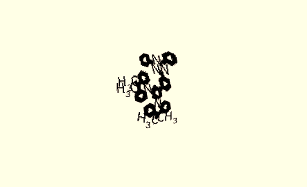 CC1(C)c2ccccc2N(c2cc(-c3cccc(-c4nc(-c5ccccc5)nc(-c5ccccc5)n4)c3)cc(N3c4ccccc4C(C)(C)c4ccccc43)c2)c2ccccc21